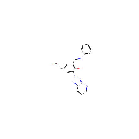 OCCc1cc(C=Nc2ccccc2)c(O)c(-n2nc3cccnc3n2)c1